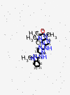 CC(C)N1c2nc(Nc3nccc(Nc4nn(C)c5ccccc45)n3)cnc2N(C)C(=O)[C@H]1C